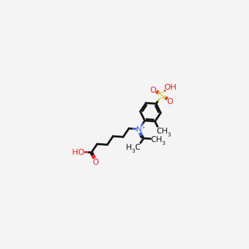 CC(C)=[N+](CCCCCC(=O)O)c1ccc(S(=O)(=O)O)cc1C